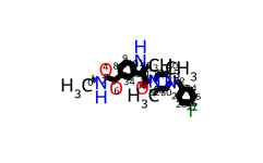 CCNC(=O)C(=O)c1ccc2[nH]c(C)c(C(=O)N3C[C@H](C)N(Cc4ccc(F)cc4)C[C@H]3C)c2c1